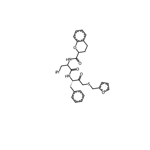 CC(C)CC(NC(=O)C1CCc2ccccc2O1)C(=O)N[C@@H](Cc1ccccc1)C(=O)CSCc1ccco1